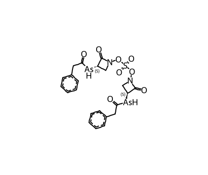 O=C(Cc1ccccc1)[AsH][C@H]1CN(OS(=O)(=O)ON2C[C@H]([AsH]C(=O)Cc3ccccc3)C2=O)C1=O